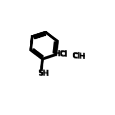 Cl.Cl.Sc1ccccc1